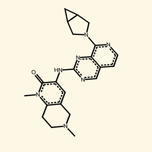 CN1CCc2c(cc(Nc3ncc4ccnc(N5CC6CC6C5)c4n3)c(=O)n2C)C1